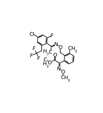 CO/N=C(/C(=O)OC)c1cccc(C)c1CO/N=C(\C)c1c(F)cc(Cl)cc1CC(F)(F)F